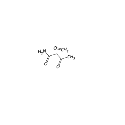 C=O.CC(=O)CC(N)=O